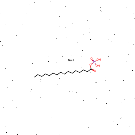 CCCCCCCCCCCCCCCC(=O)OP(=O)(O)O.[NaH]